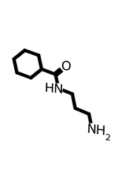 NCCCNC(=O)C1CCCCC1